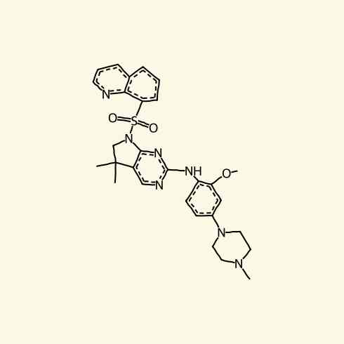 COc1cc(N2CCN(C)CC2)ccc1Nc1ncc2c(n1)N(S(=O)(=O)c1cccc3cccnc13)CC2(C)C